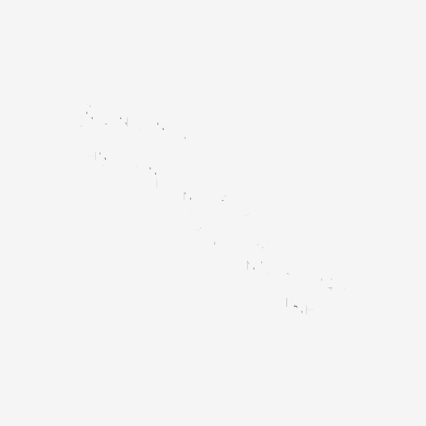 N=C(CC(NC(=O)c1ccc(NCC2CNc3nc(N)[nH]c(=O)c3N2)cc1)C(=O)O)C(=O)O